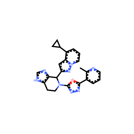 Cc1ncccc1-c1nnc(N2CCc3[nH]cnc3C2c2cc3c(C4CC4)cccn3n2)o1